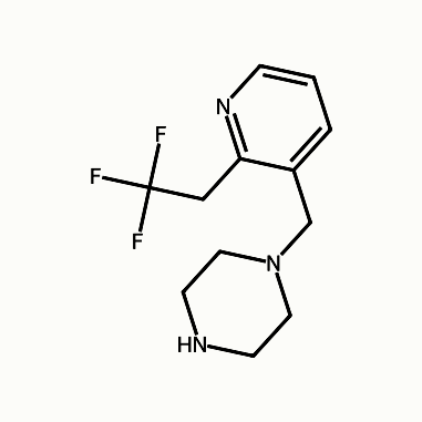 FC(F)(F)Cc1ncccc1CN1CCNCC1